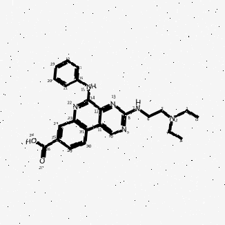 CCN(CC)CCNc1ncc2c(n1)c(Nc1ccccc1)nc1cc(C(=O)O)ccc12